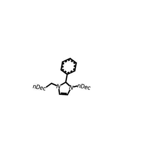 CCCCCCCCCCCN1C=CN(CCCCCCCCCC)C1c1ccccc1